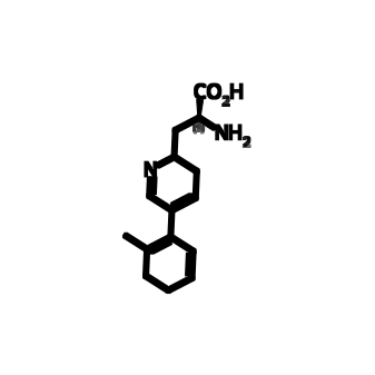 CC1=C(C2=CCC(C[C@H](N)C(=O)O)N=C2)C=CCC1